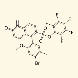 COc1cc(Br)c(C)cc1-c1c(S(=O)(=O)Oc2c(F)c(F)c(F)c(F)c2F)ccc2[nH]c(=O)ccc12